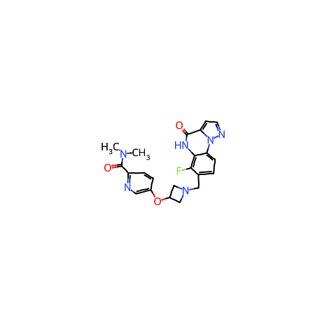 CN(C)C(=O)c1ccc(OC2CN(Cc3ccc4c([nH]c(=O)c5ccnn54)c3F)C2)cn1